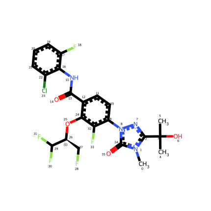 Cn1c(C(C)(C)O)nn(-c2ccc(C(=O)Nc3c(F)cccc3Cl)c(O[C@@H](CF)C(F)F)c2F)c1=O